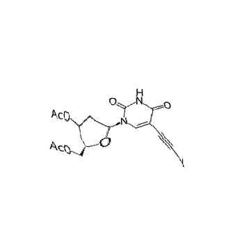 CC(=O)OC[C@@H]1O[C@H](n2cc(C#CI)c(=O)[nH]c2=O)CC1OC(C)=O